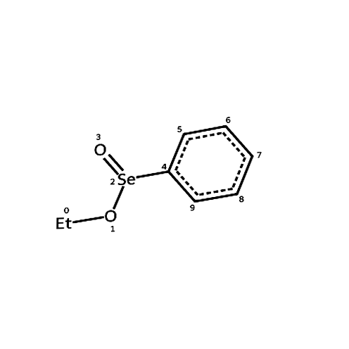 CCO[Se](=O)c1ccccc1